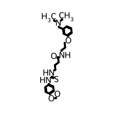 CCN(CC)Cc1cccc(OCCCNC(=O)CCCNC(=S)Nc2ccc3c(c2)OCO3)c1